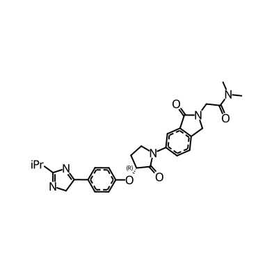 CC(C)C1=NCC(c2ccc(O[C@@H]3CCN(c4ccc5c(c4)C(=O)N(CC(=O)N(C)C)C5)C3=O)cc2)=N1